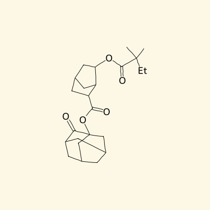 CCC(C)(C)C(=O)OC1CC2CC(C(=O)OC34CC5CC(CC(C5)C3=O)C4)C1C2